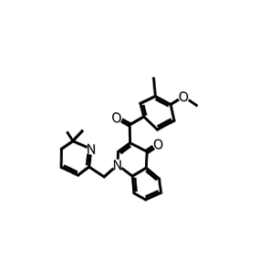 COc1ccc(C(=O)c2cn(CC3=NC(C)(C)CC=C3)c3ccccc3c2=O)cc1C